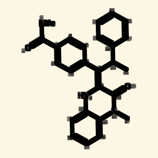 CNC(=O)c1ccc(/C(=C2\Nc3ccccc3N(C)C2=O)C(C)c2ccccc2)cc1